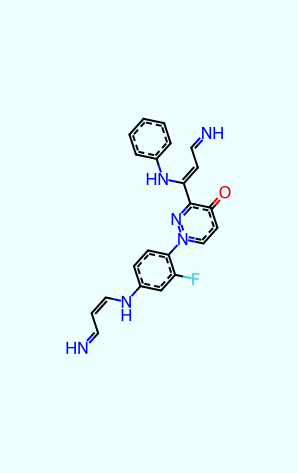 N=C/C=C\Nc1ccc(-n2ccc(=O)c(/C(=C/C=N)Nc3ccccc3)n2)c(F)c1